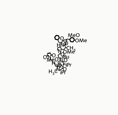 CCC(C)[C@@H](C(CC(=O)N1CCCC1C(OC)C(C)C(=O)N[C@@H](Cc1ccccc1)C(=O)OCc1ccc(OC)cc1OC)OC)N(C)C(=O)[C@@H](NC(=O)C(C(C)C)N(C)C(=O)CCCCCN1C(=O)C=CC1=O)C(C)C